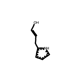 OC=CCc1ccc[nH]1